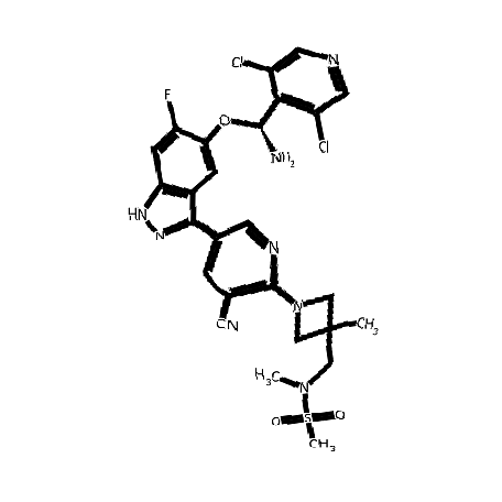 CN(CC1(C)CN(c2ncc(-c3n[nH]c4cc(F)c(O[C@H](N)c5c(Cl)cncc5Cl)cc34)cc2C#N)C1)S(C)(=O)=O